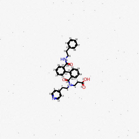 O=C(O)CCN(CCc1ccncc1)C(=O)c1ccccc1-c1ccccc1C(=O)NCCc1ccccc1